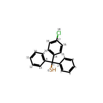 SC(c1ccccc1)(c1ccccc1)c1ccc(Cl)cc1